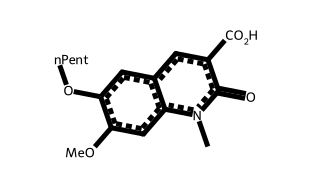 CCCCCOc1cc2cc(C(=O)O)c(=O)n(C)c2cc1OC